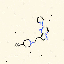 O=NC1CCN(CCc2cnn3ccc(N4CCCC4)nc23)CC1